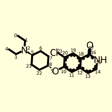 CCN(CC)[C@H]1CC[C@H](Oc2cc3cc[nH]c(=O)c3cc2Cl)CC1